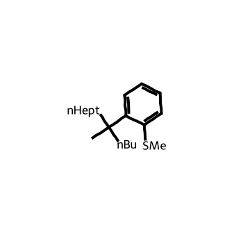 CCCCCCCC(C)(CCCC)c1ccccc1SC